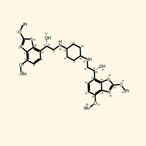 CC(C)Oc1nc2c(OC(C)(C)C)ccc([C@H](O)CNC3CCC(NC[C@H](O)c4ccc(OC(C)(C)C)c5nc(OC(C)C)sc45)CC3)c2s1